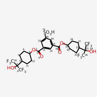 O=C(OC1CCC(C(O)(C(F)(F)F)C(F)(F)F)CC1)c1cc(C(=O)OC2CCC(C(O)(C(F)(F)F)C(F)(F)F)CC2)cc(S(=O)(=O)O)c1